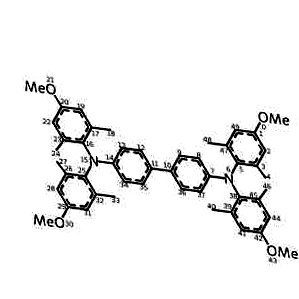 COc1cc(C)c(N(c2ccc(-c3ccc(N(c4c(C)cc(OC)cc4C)c4c(C)cc(OC)cc4C)cc3)cc2)c2c(C)cc(OC)cc2C)c(C)c1